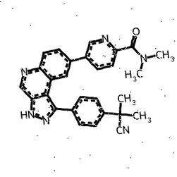 CN(C)C(=O)c1ccc(-c2ccc3ncc4[nH]nc(-c5ccc(C(C)(C)C#N)cc5)c4c3c2)cn1